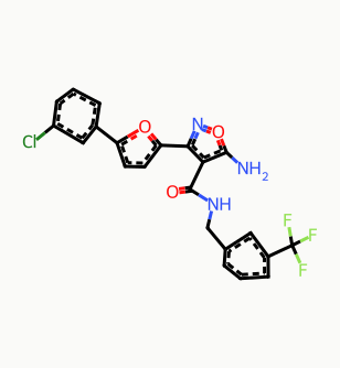 Nc1onc(-c2ccc(-c3cccc(Cl)c3)o2)c1C(=O)NCc1cccc(C(F)(F)F)c1